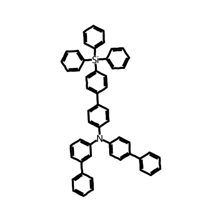 c1ccc(-c2ccc(N(c3ccc(-c4ccc([Si](c5ccccc5)(c5ccccc5)c5ccccc5)cc4)cc3)c3cccc(-c4ccccc4)c3)cc2)cc1